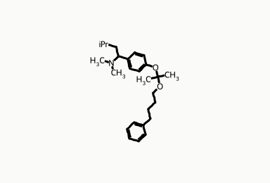 CC(C)CC(c1ccc(OC(C)(C)OCCCCc2ccccc2)cc1)N(C)C